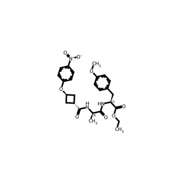 CCOC(=O)[C@H](Cc1ccc(OC)cc1)NC(=O)[C@@H](C)NC(=O)[C@H]1C[C@H](Oc2ccc([N+](=O)[O-])cc2)C1